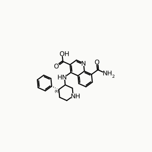 NC(=O)c1cccc2c(NC3CNCC[C@@H]3c3ccccc3)c(C(=O)O)cnc12